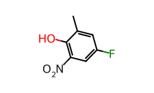 Cc1cc(F)cc([N+](=O)[O-])c1O